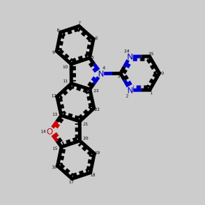 c1cnc(-n2c3ccccc3c3cc4oc5ccccc5c4cc32)nc1